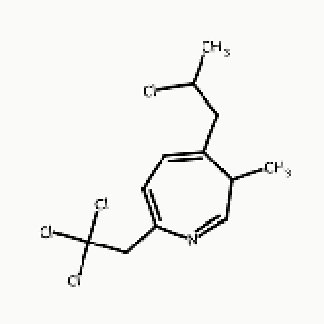 CC(Cl)CC1=CC=C(CC(Cl)(Cl)Cl)N=CC1C